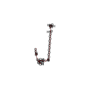 COCCOCc1cn(CCCCCCO[C@H]2C[C@H](O)[C@@H](NC(=O)CO)[C@H]([C@H](O)[C@H](O)CNC(=O)Cc3ccc(-c4cn(CCOCCOCCOCCOCCOCCOCCOCCOCCOCCOCCOCCNC(=O)CCCC[C@@H]5SC[C@@H]6NC(=O)N[C@@H]65)nn4)cc3)O2)nn1